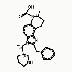 C[C@H]([C@@H]1CCCNC1)n1c(Cc2ccccc2)nc2c3c(ccc21)N(C(=O)O)[C@@H](C)CC3